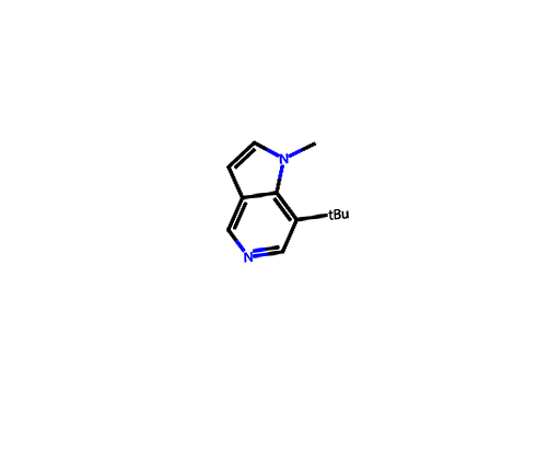 Cn1ccc2cncc(C(C)(C)C)c21